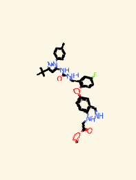 COC(=O)CNc1ccc(Oc2ccc(F)cc2CNC(=O)Nc2cc(C(C)(C)C)nn2-c2ccc(C)cc2)cc1C=N